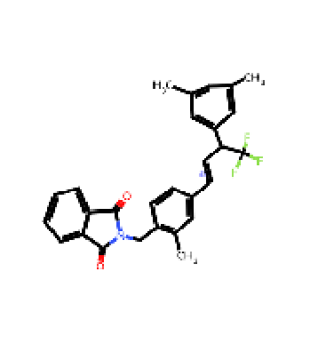 Cc1cc(C)cc(C(/C=C/c2ccc(CN3C(=O)c4ccccc4C3=O)c(C)c2)C(F)(F)F)c1